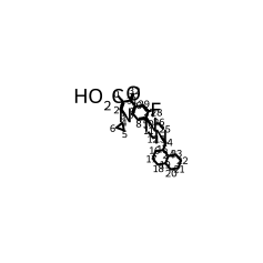 O=C(O)c1cn(C2CC2)c2cc(N3CCN(CC4CCCC5CCCCC54)CC3)c(F)cc2c1=O